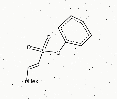 CCCCCCC=CS(=O)(=O)Oc1ccccc1